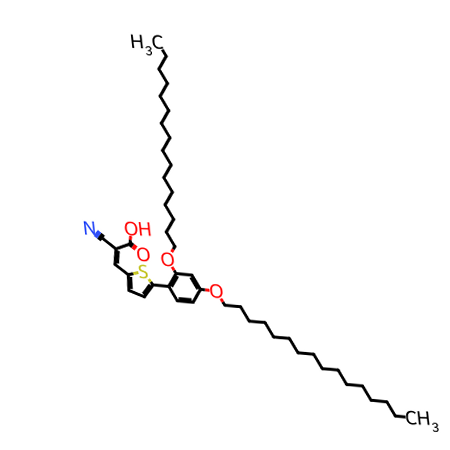 CCCCCCCCCCCCCCCCOc1ccc(-c2ccc(C=C(C#N)C(=O)O)s2)c(OCCCCCCCCCCCCCCCC)c1